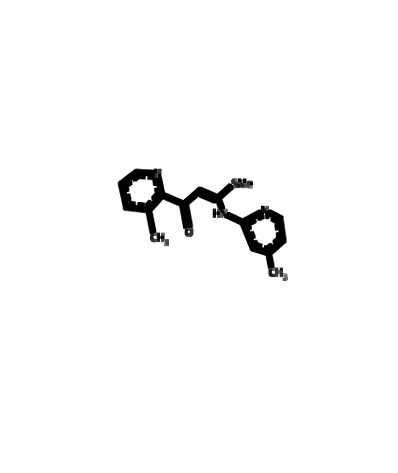 CS/C(=C/C(=O)c1ncccc1C)Nc1cc(C)ccn1